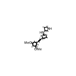 COc1cc(C#Cc2ccnc(NC3CCNC3)n2)cc(OC)c1